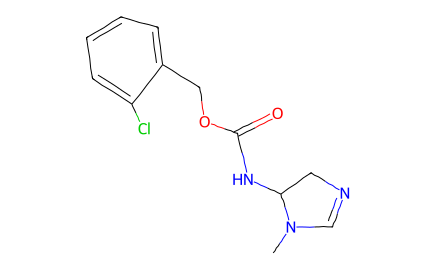 CN1C=NCC1NC(=O)OCc1ccccc1Cl